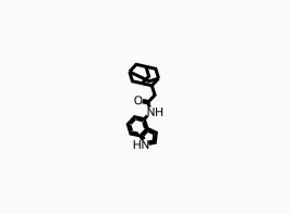 O=C(CC1C2CC3CC(C2)CC1C3)Nc1cccc2[nH]ccc12